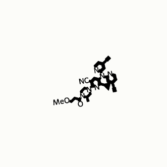 C#Cc1ccnc(N(c2cc(C#C)ccn2)c2cc(C#N)c(N3CCN(C(=O)CCOC)C(C)C3)nc2C2CC2)c1